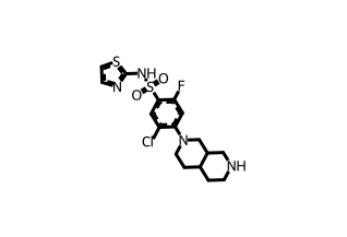 O=S(=O)(Nc1nccs1)c1cc(Cl)c(N2CCC3CCNCC3C2)cc1F